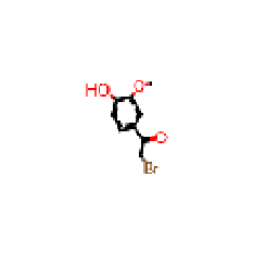 COc1cc(C(=O)CBr)ccc1O